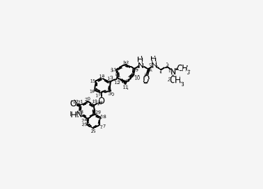 CN(C)CCNC(=O)Nc1ccc(-c2cccc(Oc3cc(=O)[nH]c4ccccc34)c2)cc1